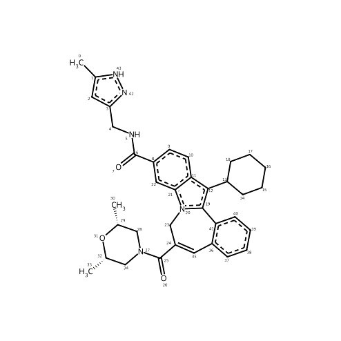 Cc1cc(CNC(=O)c2ccc3c(C4CCCCC4)c4n(c3c2)CC(C(=O)N2C[C@@H](C)O[C@@H](C)C2)=Cc2ccccc2-4)n[nH]1